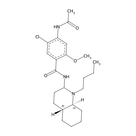 CCCCN1C(NC(=O)c2cc(Cl)c(NC(C)=O)cc2OC)CC[C@H]2CCCC[C@@H]21